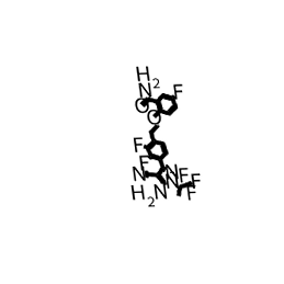 CC(n1nc(-c2ccc(CCOc3ccc(F)cc3C(N)=O)c(F)c2F)c(C#N)c1N)C(F)(F)F